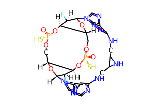 O=[P@]1(S)OC[C@H]2O[C@@H]3[C@H](F)[C@@H]2O[P@](=O)(S)OC[C@H]2OC([C@H](F)[C@@H]2O1)n1cnc2c(ncnc21)NCC1NC1CNc1ncnc2c1ncn23